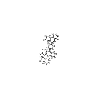 C=C/C=c1/c(-c2cccc3ccccc23)c2ccccc2c(-c2ccc(-c3cc4ccccc4c4ccccc34)cc2)/c1=C/C